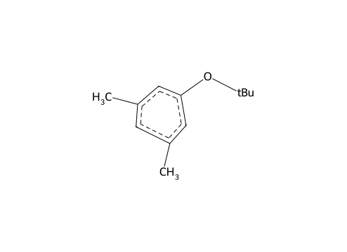 Cc1cc(C)cc(OC(C)(C)C)c1